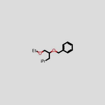 CCOCC(CC(C)C)OCc1ccccc1